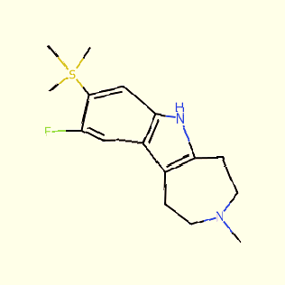 CN1CCc2[nH]c3cc(S(C)(C)C)c(F)cc3c2CC1